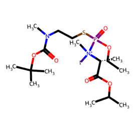 CCOP(=O)(SCCN(C)C(=O)OC(C)(C)C)[N+](C)(I)[C@H](C)C(=O)OC(C)C